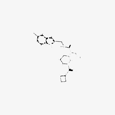 CCN(C(=O)NCc1cc2cc(Cl)ccc2[nH]1)[C@@H]1CCCN(C(=O)C2CCC2)C1